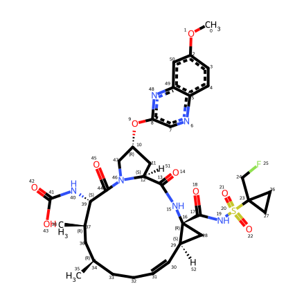 COc1ccc2ncc(O[C@@H]3C[C@H]4C(=O)N[C@]5(C(=O)NS(=O)(=O)C6(CF)CC6)C[C@H]5C=CCC[C@@H](C)C[C@@H](C)[C@H](NC(=O)O)C(=O)N4C3)nc2c1